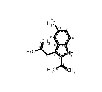 C=C(C)Cc1c(C(=C)C)[nH]c2ccc(C)cc12